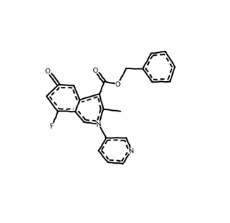 Cc1c(C(=O)OCc2ccccc2)c2cc(=O)cc(F)c-2cn1-c1cccnc1